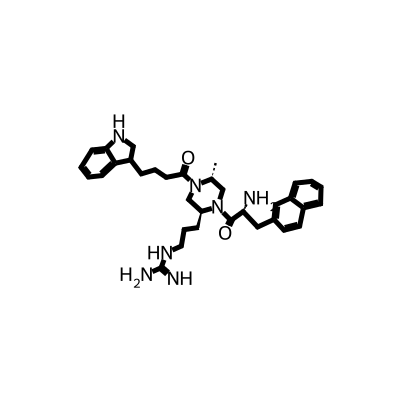 C[C@@H]1CN(C(=O)[C@H](N)Cc2ccc3ccccc3c2)[C@@H](CCCNC(=N)N)CN1C(=O)CCCC1CNc2ccccc21